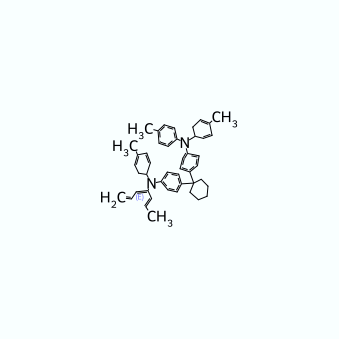 C=C/C=C(\C=CC)N(c1ccc(C2(c3ccc(N(c4ccc(C)cc4)C4C=CC(C)=CC4)cc3)CCCCC2)cc1)C1C=CC(C)=CC1